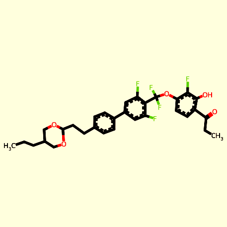 CCCC1COC(CCc2ccc(-c3cc(F)c(C(F)(F)Oc4ccc(C(=O)CC)c(O)c4F)c(F)c3)cc2)OC1